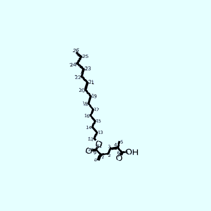 C=C(CC=C(C)C(=O)O)C(=O)OCCCCCCCCCCCCCCC